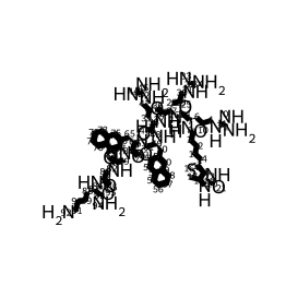 N=C(N)NCCC[C@H](NC(=O)CCCC[C@@H]1SCC2NC(=O)NC21)C(=O)N[C@@H](CCCNC(=N)N)C(=O)N[C@@H](CCCNC(=N)N)C(=O)N[C@@H](Cc1ccc2ccccc2c1)C(=O)N[C@H](Cc1ccc2ccccc2c1)C(=O)NCC(=O)NCC(=O)N[C@@H](CCCCN)C(N)=O